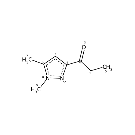 CCC(=O)c1cc(C)n(C)n1